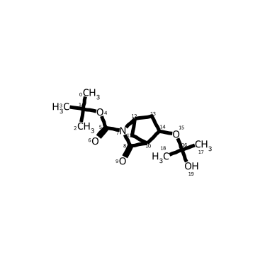 CC(C)(C)OC(=O)N1C(=O)C2CC1CC2OC(C)(C)O